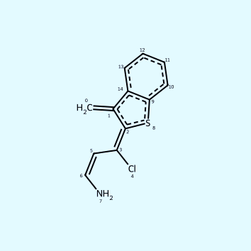 C=c1/c(=C(Cl)\C=C/N)sc2ccccc12